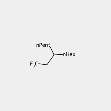 CCCCCCC(CCCCC)CC(F)(F)F